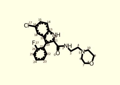 O=C(NCCN1CCOCC1)c1[nH]c2ccc(Cl)cc2c1-c1ccccc1F